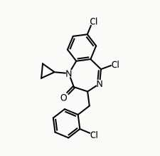 O=C1C(Cc2ccccc2Cl)N=C(Cl)c2cc(Cl)ccc2N1C1CC1